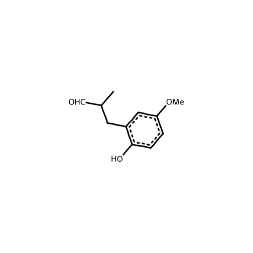 COc1ccc(O)c(CC(C)C=O)c1